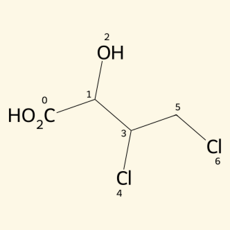 O=C(O)C(O)C(Cl)CCl